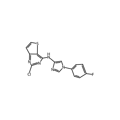 Fc1ccc(-n2cnc(Nc3nc(Cl)nc4ccsc34)c2)cc1